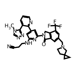 Cn1cnnc1-c1cccnc1-c1cc(NCCC#N)nc(N2Cc3c(cc(CN4CCC5(CC5)C4)cc3C(F)(F)F)C2=O)c1